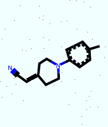 Cc1ccc(N2CCC(=CC#N)CC2)cc1